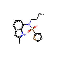 COCCN(c1cccc2cc(C)[nH]c12)S(=O)(=O)c1cccs1